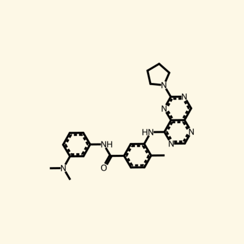 Cc1ccc(C(=O)Nc2cccc(N(C)C)c2)cc1Nc1ncnc2cnc(N3CCCC3)nc12